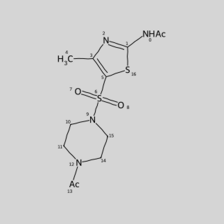 CC(=O)Nc1nc(C)c(S(=O)(=O)N2CCN(C(C)=O)CC2)s1